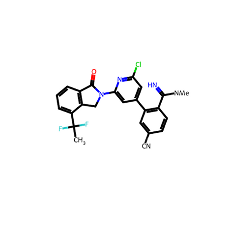 CNC(=N)c1ccc(C#N)cc1-c1cc(Cl)nc(N2Cc3c(cccc3C(C)(F)F)C2=O)c1